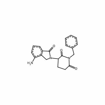 Nc1cccc2c1CN(C1CCC(=O)N(Cc3ccccc3)C1=O)C2=O